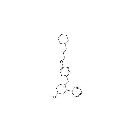 OC1CCN(Cc2ccc(OCCCN3CCCCC3)cc2)C(c2ccccc2)C1